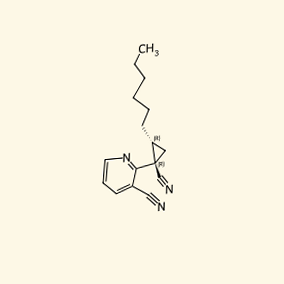 CCCCCC[C@@H]1C[C@]1(C#N)c1ncccc1C#N